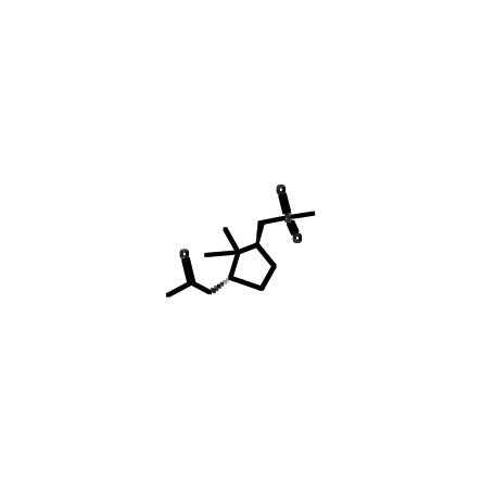 CC(=O)C[C@H]1CC[C@H](CS(C)(=O)=O)C1(C)C